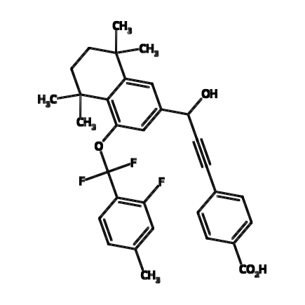 Cc1ccc(C(F)(F)Oc2cc(C(O)C#Cc3ccc(C(=O)O)cc3)cc3c2C(C)(C)CCC3(C)C)c(F)c1